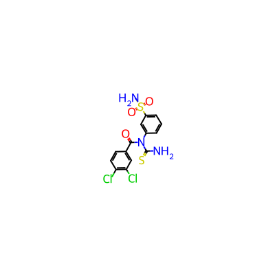 NC(=S)N(C(=O)c1ccc(Cl)c(Cl)c1)c1cccc(S(N)(=O)=O)c1